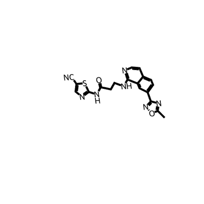 Cc1nc(-c2ccc3ccnc(NCCC(=O)Nc4ncc(C#N)s4)c3c2)no1